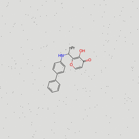 CCCC(Nc1ccc(-c2ccccc2)cc1)c1occc(=O)c1O